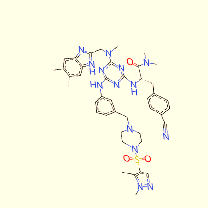 Cc1cc2nc(CN(C)c3nc(Nc4cccc(CN5CCN(S(=O)(=O)c6cnn(C)c6C)CC5)c4)nc(N[C@@H](Cc4ccc(C#N)cc4)C(=O)N(C)C)n3)[nH]c2cc1C